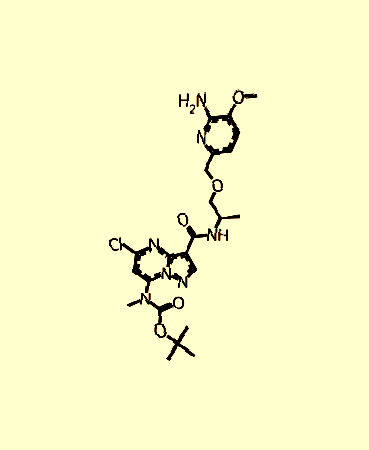 COc1ccc(COC[C@@H](C)NC(=O)c2cnn3c(N(C)C(=O)OC(C)(C)C)cc(Cl)nc23)nc1N